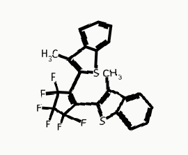 Cc1c(C2=C(c3sc4ccccc4c3C)C(F)(F)C(F)(F)C2(F)F)sc2ccccc12